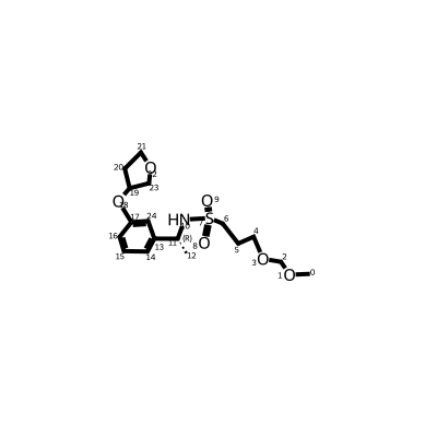 COCOCCCS(=O)(=O)N[C@H](C)c1cccc(OC2CCOC2)c1